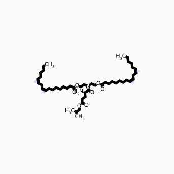 CCCCC/C=C\C/C=C\CCCCCCCC(=O)OCCN(CCOC(=O)CCCCCCC/C=C\C/C=C\CCCCC)C(=O)[C@@H](N)CCC(=O)OCC(C)C